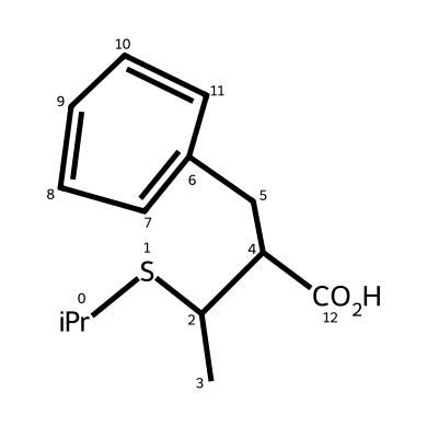 CC(C)SC(C)C(Cc1ccccc1)C(=O)O